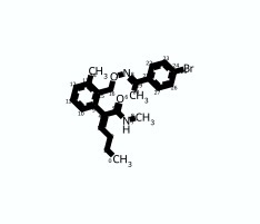 CCC/C=C(\C(=O)NC)c1cccc(C)c1CO/N=C(\C)c1ccc(Br)cc1